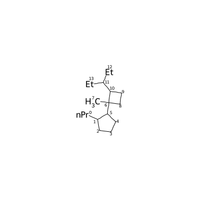 CCCC1CCCC1C1(C)CCC1C(CC)CC